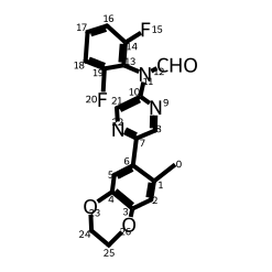 Cc1cc2c(cc1-c1cnc(N(C=O)c3c(F)cccc3F)cn1)OCCO2